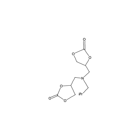 CC(C)CN(CC1COC(=O)O1)CC1COC(=O)O1